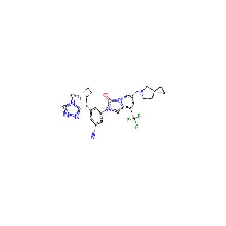 Cn1cnnc1[C@@H](c1cc(C#N)cc(-n2cc3c(C(F)(F)F)cc(CN4CCC5(CC5)C4)cn3c2=O)c1)C1CCC1